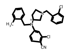 Cc1ccccc1CN(c1ccc(C#N)c(Cl)c1)[C@H]1CCN(Cc2ccccc2Cl)C1